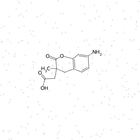 CC1(CC(=O)O)Cc2ccc(N)cc2OC1=O